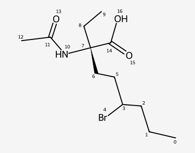 CCCC(Br)CC[C@](CC)(NC(C)=O)C(=O)O